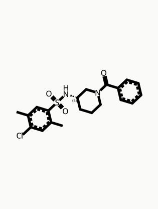 Cc1cc(S(=O)(=O)N[C@H]2CCCN(C(=O)c3ccccc3)C2)c(C)cc1Cl